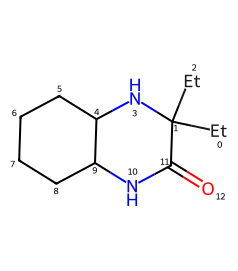 CCC1(CC)NC2CCCCC2NC1=O